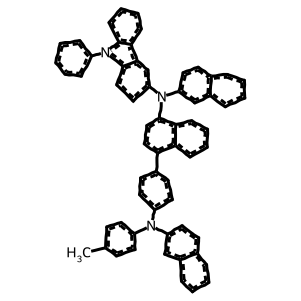 Cc1ccc(N(c2ccc(-c3ccc(N(c4ccc5ccccc5c4)c4ccc5c(c4)c4ccccc4n5-c4ccccc4)c4ccccc34)cc2)c2ccc3ccccc3c2)cc1